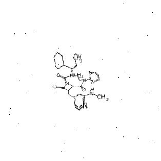 CC[C@@H](NC(=O)N1C(=O)[C@H](Cc2ccnc(NC)c2)[C@H]1C(=O)N(C)c1ncccn1)C1CCCCC1